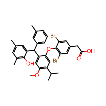 COc1cc(C(c2cccc(C)c2)c2cc(C)cc(C)c2O)c(Oc2c(Br)cc(CC(=O)O)cc2Br)cc1C(C)C